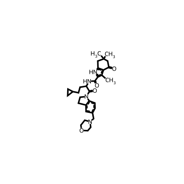 Cc1c(C(=O)NC(CCC2CC2)C(=O)N2CCc3cc(CN4CCOCC4)ccc32)[nH]c2c1C(=O)CC(C)(C)C2